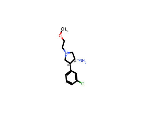 COCCN1C[C@H](c2cccc(Cl)c2)[C@@H](N)C1